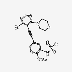 CCc1ncnc(N2CCOCC2)c1C#Cc1cnc(OC)c(NS(=O)(=O)CC)c1